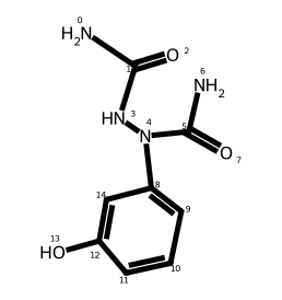 NC(=O)NN(C(N)=O)c1cccc(O)c1